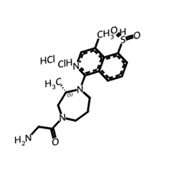 Cc1cnc(N2CCCN(C(=O)CN)C[C@@H]2C)c2cccc([SH](=O)=O)c12.Cl.Cl